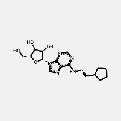 OC[C@H]1O[C@@H](n2cnc3c(NN=CC4CCCC4)ncnc32)[C@H](O)[C@@H]1O